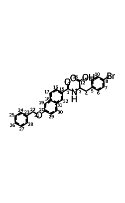 O=C(NC(Cc1ccc(Br)cc1)C(=O)O)c1ccc2cc(OCc3ccccc3)ccc2c1